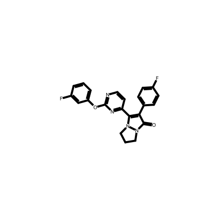 O=c1c(-c2ccc(F)cc2)c(-c2ccnc(Oc3cccc(F)c3)n2)n2n1CCC2